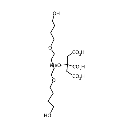 COC(CC(=O)O)(CC(=O)O)C(=O)O.OCCCCOCCCCOCCCCO